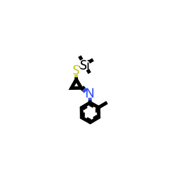 Cc1ccccc1N=C1CC1S[Si](C)(C)C